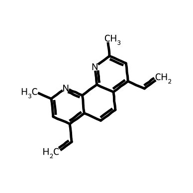 C=Cc1cc(C)nc2c1ccc1c(C=C)cc(C)nc12